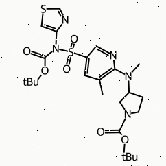 Cc1cc(S(=O)(=O)N(C(=O)OC(C)(C)C)c2cscn2)cnc1N(C)C1CCN(C(=O)OC(C)(C)C)C1